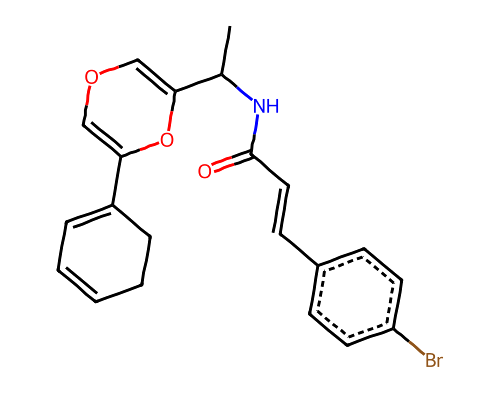 CC(NC(=O)C=Cc1ccc(Br)cc1)C1=COC=C(C2=CC=CCC2)O1